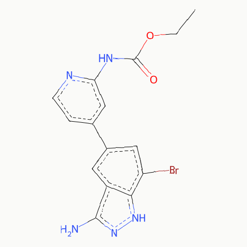 CCOC(=O)Nc1cc(-c2cc(Br)c3[nH]nc(N)c3c2)ccn1